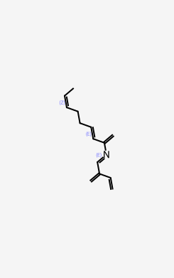 C=CC(=C)/C=N/C(=C)/C=C/CC/C=C\C